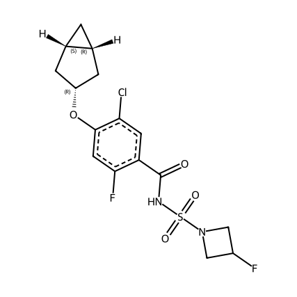 O=C(NS(=O)(=O)N1CC(F)C1)c1cc(Cl)c(O[C@@H]2C[C@@H]3C[C@@H]3C2)cc1F